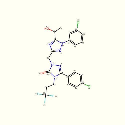 CC(O)c1nc(Cn2nc(-c3ccc(Cl)cc3)n(CCC(F)(F)F)c2=O)nn1-c1cccc(Cl)c1